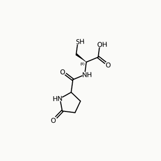 O=C1CCC(C(=O)N[C@@H](CS)C(=O)O)N1